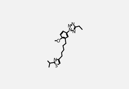 CCc1nnn(-c2ccc(OC)c(CCCCCc3csc(C(C)C)n3)c2)n1